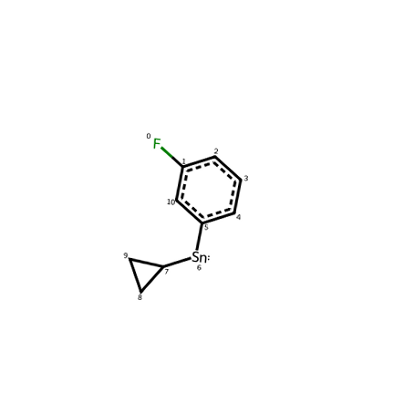 Fc1ccc[c]([Sn][CH]2CC2)c1